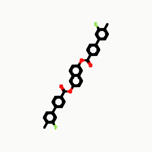 Cc1ccc(-c2ccc(C(=O)Oc3ccc4cc(OC(=O)c5ccc(-c6ccc(C)c(F)c6)cc5)ccc4c3)cc2)cc1F